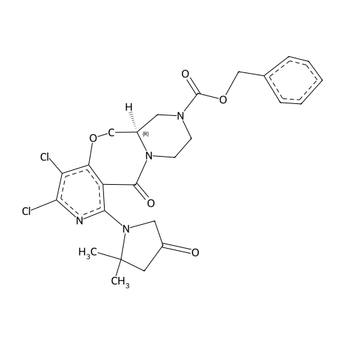 CC1(C)CC(=O)CN1c1nc(Cl)c(Cl)c2c1C(=O)N1CCN(C(=O)OCc3ccccc3)C[C@@H]1CO2